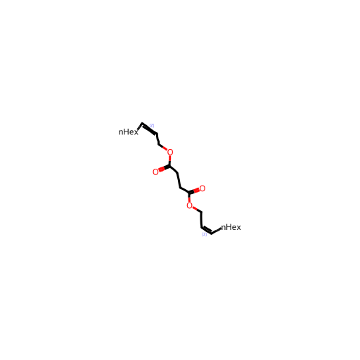 CCCCCC/C=C\COC(=O)CCC(=O)OC/C=C\CCCCCC